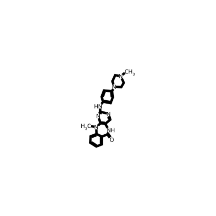 CN1CCN(c2ccc(Nc3ncc4c(n3)N(C)c3ccccc3C(=O)N4)cc2)CC1